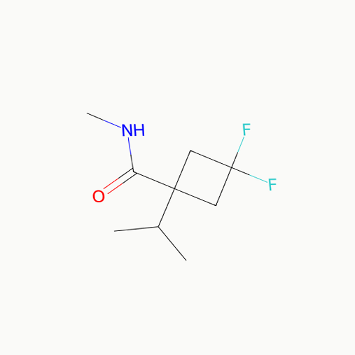 CNC(=O)C1(C(C)C)CC(F)(F)C1